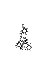 O=C1c2ccccc2C(=O)C1(c1ccccc1)N1CCN(Cc2cccc(F)c2)CC1